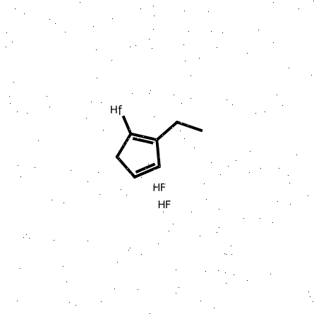 CCC1=[C]([Hf])CC=C1.F.F